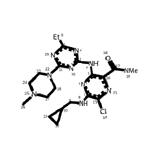 CCc1nc(Nc2nc(NCC3CC3)c(Cl)nc2C(=O)NC)nc(N2CCN(C)CC2)n1